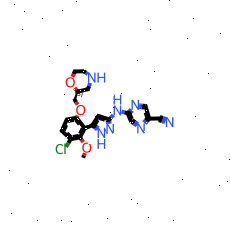 COc1c(Cl)ccc(OC[C@@H]2CNCCO2)c1-c1cc(Nc2cnc(C#N)cn2)n[nH]1